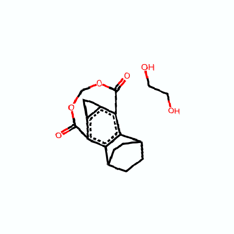 O=C1OCOC(=O)c2c3c(c1c1c2C2CCC1CC2)C3.OCCO